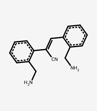 N#CC(=Cc1ccccc1CN)c1ccccc1CN